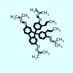 CC=Cc1cc(C2(c3ccc(N=NN(C)C)c(C=CC)c3)c3cc(N=NN(C)C)ccc3-c3ccc(N=NN(C)C)cc32)ccc1N=NN(C)C